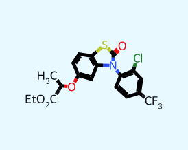 CCOC(=O)C(C)Oc1ccc2sc(=O)n(-c3ccc(C(F)(F)F)cc3Cl)c2c1